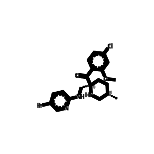 COc1cc(Cl)ccc1C(=O)[C@@]1(CNc2ccc(Br)cn2)CC[C@H](C)CN1